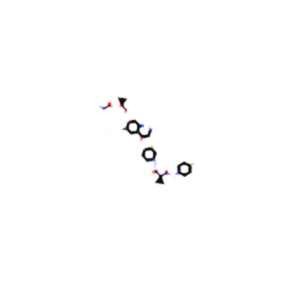 COc1cc2c(Oc3ccc(NC(=O)C4(C(=O)Nc5ccc(F)cc5)CC4)cc3F)ccnc2cc1OCC1(OC(=O)CN)CC1